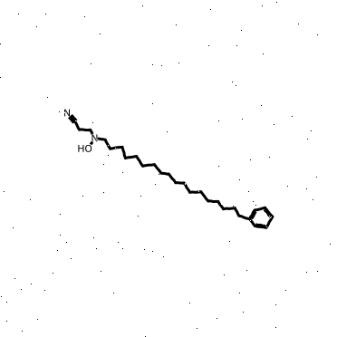 N#CCCN(O)CCCCCCCCCCCCCCCCCCc1ccccc1